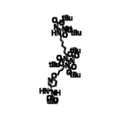 CC(C)(C)OC(=O)N=C(NCCCCCCCN(C(=O)OC(C)(C)C)C(=NC(=O)OC(C)(C)C)N(CCCCOc1ccc(C(=N)NC(=O)OC(C)(C)C)cn1)C(=O)OC(C)(C)C)NC(=O)OC(C)(C)C